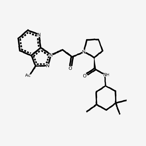 CC(=O)c1nn(CC(=O)N2CCC[C@H]2C(=O)NC2CC(C)CC(C)(C)C2)c2ncccc12